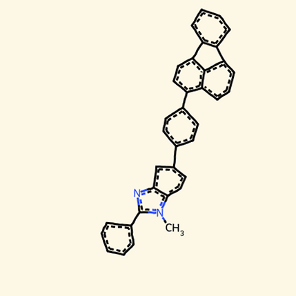 Cn1c(-c2ccccc2)nc2cc(-c3ccc(-c4ccc5c6c(cccc46)-c4ccccc4-5)cc3)ccc21